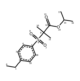 CCc1ccc(S(=O)(=O)C(C)(C)C(=O)OC(C)C)cc1